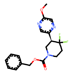 COc1cnc([C@@H]2CN(C(=O)OCc3ccccc3)CCC2(F)F)cn1